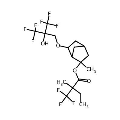 CCC(C)(C(=O)OC1(C)CC2CC(OCC(O)(C(F)(F)F)C(F)(F)F)C1C2)C(F)(F)F